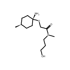 CN(CCCO)C(=O)CO[C@]1(N)CC[C@@H](C)CC1